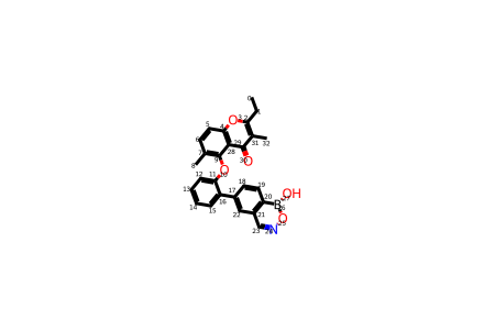 CCc1oc2ccc(C)c(Oc3ccccc3-c3ccc4c(c3)C=NOB4O)c2c(=O)c1C